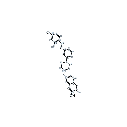 CC(Cc1ccc(CN2CCC(c3cccc(OCc4ccc(Cl)cc4F)n3)CC2)nc1)C(=O)O